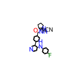 N#CN1CC2CCC1[C@@H]2NC(=O)c1ccc(-c2cnccc2Nc2ccc(F)cc2)cc1